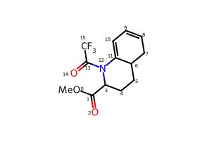 COC(=O)C1CCC2CC=CC=C2N1C(=O)C(F)(F)F